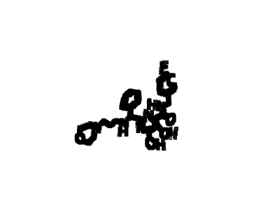 O=C(NCc1ccc(F)cc1)c1nc(C(NCCCN2CCOCC2)c2ccccc2)nc(O)c1O